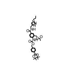 CCCn1cc(CNC(=O)c2ccc(NC(=O)OCc3ccc(B4OC(C)(C)C(C)(C)O4)cc3)c(COC(C)=O)c2)nn1